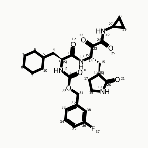 O=C(N[C@@H](CC1CCCCC1)C(=O)N[C@@H](C[C@@H]1CCNC1=O)C(=O)C(=O)NC1CC1)OCc1cccc(F)c1